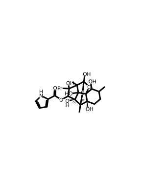 CC1CC[C@@]2(O)C3(OC4(O)CC2(C)[C@]2(O)C(OC(=O)c5ccc[nH]5)C(O)(C(C)C)C4(C)C32O)C1O